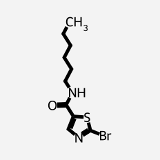 CCCCCCNC(=O)c1cnc(Br)s1